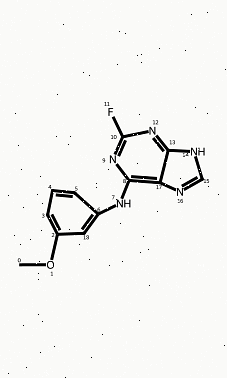 COc1cccc(Nc2nc(F)nc3[nH]cnc23)c1